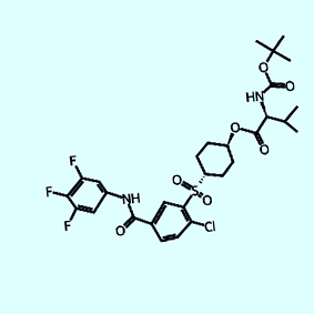 CC(C)[C@H](NC(=O)OC(C)(C)C)C(=O)O[C@H]1CC[C@H](S(=O)(=O)c2cc(C(=O)Nc3cc(F)c(F)c(F)c3)ccc2Cl)CC1